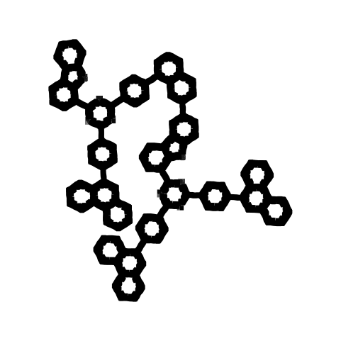 c1cc(-c2ccc(-c3nc(-c4ccc(-c5cc6ccccc6c6ccccc56)cc4)nc(-c4cccc5c4sc4ccccc45)n3)cc2)c2cc(-c3ccc4sc5c(-c6nc(-c7ccc(-c8cc9ccccc9c9ccccc89)cc7)nc(-c7ccc(-c8cc9ccccc9c9ccccc89)cc7)n6)cccc5c4c3)ccc2c1